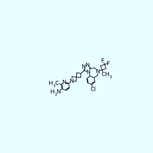 Cc1nc(N2CC3(CC(c4nnc5n4C4C=CC(Cl)=CC4CN(C4(C)CC(F)(F)C4)C5)C3)C2)ccc1N